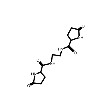 O=C1CCC(C(=O)NCCNC(=O)C2CCC(=O)N2)N1